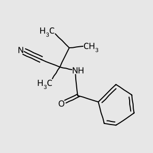 CC(C)C(C)(C#N)NC(=O)c1ccccc1